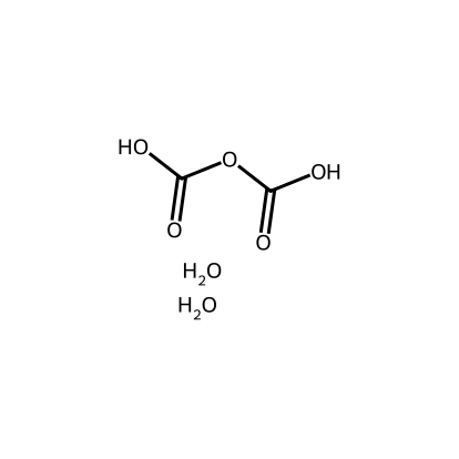 O.O.O=C(O)OC(=O)O